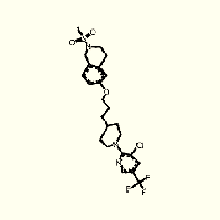 CS(=O)(=O)N1CCc2cc(OCCCC3CCN(c4ncc(C(F)(F)F)cc4Cl)CC3)ccc2C1